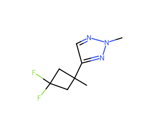 Cn1ncc(C2(C)CC(F)(F)C2)n1